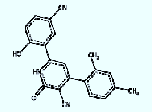 Cc1ccc(-c2cc(-c3cc(C#N)ccc3O)[nH]c(=O)c2C#N)c(C)c1